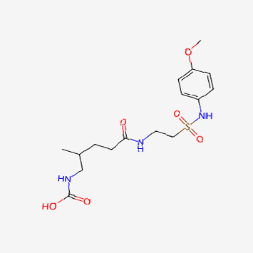 COc1ccc(NS(=O)(=O)CCNC(=O)CCC(C)CNC(=O)O)cc1